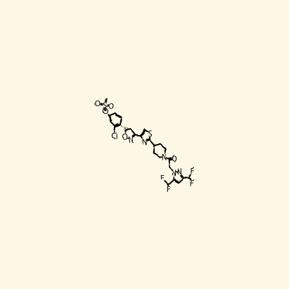 CS(=O)(=O)Oc1ccc([C@@H]2CC(c3csc(C4CCN(C(=O)Cn5nc(C(F)F)cc5C(F)F)CC4)n3)=NO2)c(Cl)c1